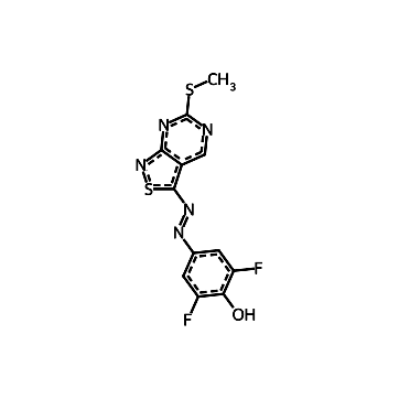 CSc1ncc2c(/N=N/c3cc(F)c(O)c(F)c3)snc2n1